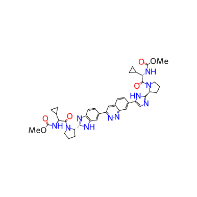 COC(=O)N[C@H](C(=O)N1CCC[C@H]1c1ncc(-c2ccc3cc(-c4ccc5nc([C@@H]6CCCN6C(=O)[C@@H](NC(=O)OC)C6CC6)[nH]c5c4)nnc3c2)[nH]1)C1CC1